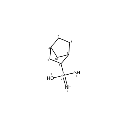 N=P(O)(S)C1CC2CCC1C2